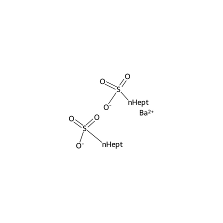 CCCCCCCS(=O)(=O)[O-].CCCCCCCS(=O)(=O)[O-].[Ba+2]